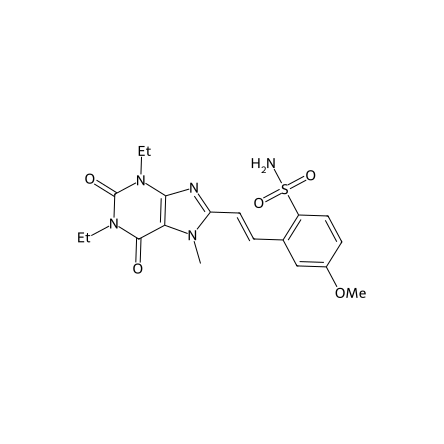 CCn1c(=O)c2c(nc(/C=C/c3cc(OC)ccc3S(N)(=O)=O)n2C)n(CC)c1=O